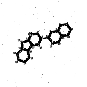 c1ccc2cc(-c3cnc4sc5ccccc5c4n3)ncc2c1